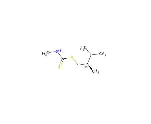 CNC(=S)SC[C@H](C)C(C)C